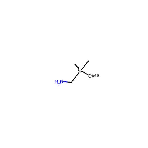 CO[Si](C)(C)CN